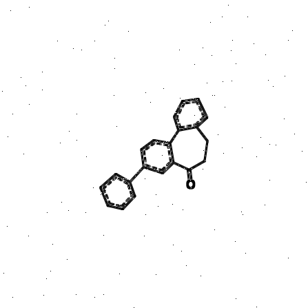 O=C1CCc2ccccc2-c2ccc(-c3ccccc3)cc21